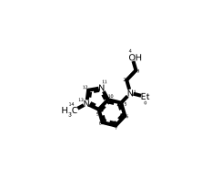 CCN(CCO)c1cccc2c1ncn2C